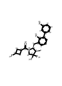 C[C@@H]1[C@H](Cc2cccc(-c3cccc(F)c3)c2F)N(C(=O)C2CC(F)C2)CC1(F)F